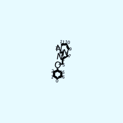 c1ccc(OCc2cn3cccnc3n2)cc1